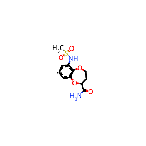 CS(=O)(=O)Nc1c[c]cc2c1OCCC(C(N)=O)O2